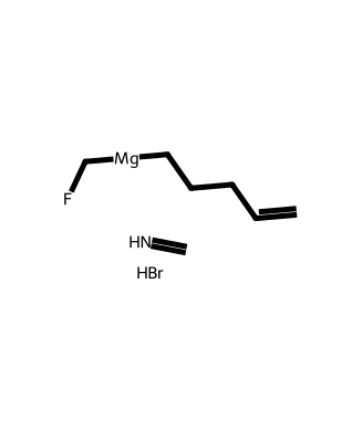 Br.C=CCC[CH2][Mg][CH2]F.C=N